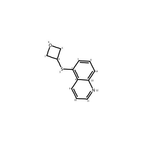 c1cc(SC2COC2)c2cccnc2c1